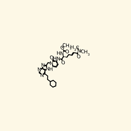 COC(=O)N[C@@H](CC/C=C/C(=O)N(C)C)C(=O)Nc1cccn(Cc2nc3ncnc(CCC4CCCCC4)c3[nH]2)c1=O